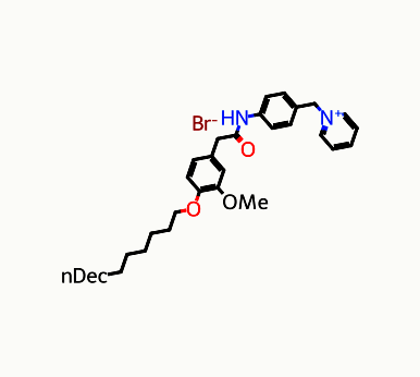 CCCCCCCCCCCCCCCCOc1ccc(CC(=O)Nc2ccc(C[n+]3ccccc3)cc2)cc1OC.[Br-]